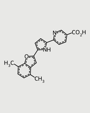 Cc1ccc(C)c2oc(-c3ccc(-c4ccc(C(=O)O)cn4)[nH]3)cc12